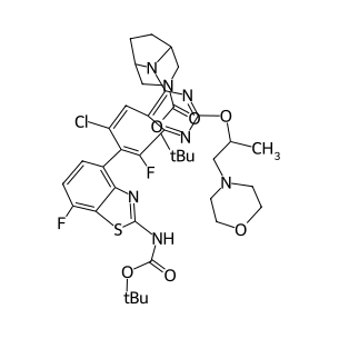 CC(CN1CCOCC1)Oc1nc(N2C3CCC2CN(C(=O)OC(C)(C)C)C3)c2cc(Cl)c(-c3ccc(F)c4sc(NC(=O)OC(C)(C)C)nc34)c(F)c2n1